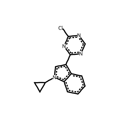 Clc1ncnc(-c2cn(C3CC3)c3ccccc23)n1